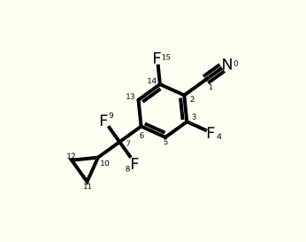 N#Cc1c(F)cc(C(F)(F)C2CC2)cc1F